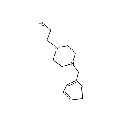 SCCN1CCN(Cc2ccccc2)CC1